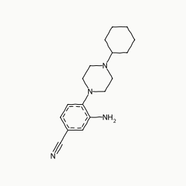 N#Cc1ccc(N2CCN(C3CCCCC3)CC2)c(N)c1